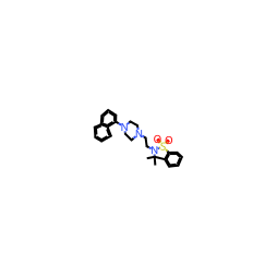 CC1(C)c2ccccc2S(=O)(=O)N1CCN1CCN(c2cccc3ccccc23)CC1